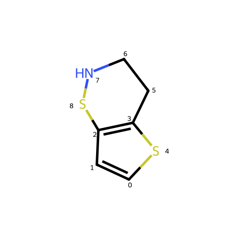 c1cc2c(s1)CCNS2